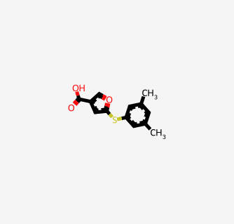 Cc1cc(C)cc(Sc2cc(C(=O)O)co2)c1